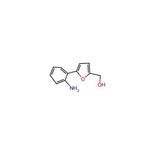 Nc1ccccc1-c1ccc(CO)o1